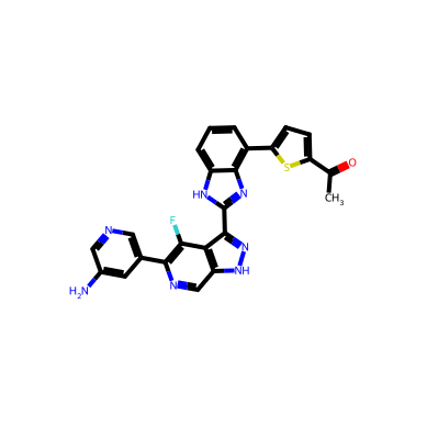 CC(=O)c1ccc(-c2cccc3[nH]c(-c4n[nH]c5cnc(-c6cncc(N)c6)c(F)c45)nc23)s1